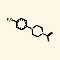 [CH2]C(=C)N1CCN(c2ccc(C(F)(F)F)cc2)CC1